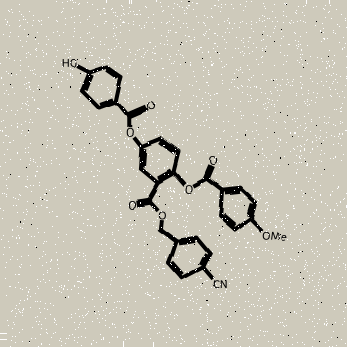 COc1ccc(C(=O)Oc2ccc(OC(=O)c3ccc(O)cc3)cc2C(=O)OCc2ccc(C#N)cc2)cc1